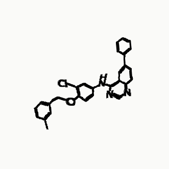 Cc1cccc(COc2ccc(Nc3ncnc4ccc(-c5ccccc5)cc34)cc2Cl)c1